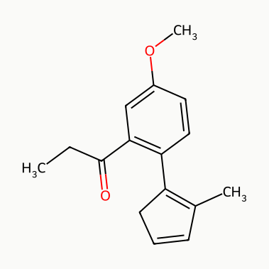 CCC(=O)c1cc(OC)ccc1C1=C(C)C=CC1